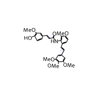 COc1cc(/C=C/C(=O)Nc2c(/C=C/c3cc(OC)c(OC)c(OC)c3)cccc2OC)ccc1O